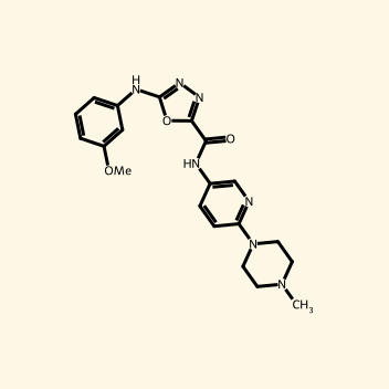 COc1cccc(Nc2nnc(C(=O)Nc3ccc(N4CCN(C)CC4)nc3)o2)c1